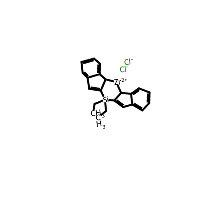 CC[Si]1(CC)C2=Cc3ccccc3[CH]2[Zr+2][CH]2C1=Cc1ccccc12.[Cl-].[Cl-]